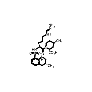 C[C@@H]1CCN(C(=O)[C@H](CCCNC=NN)NS(=O)(=O)c2cccc3c2NC[C@H](C)C3)[C@@H](C(=O)O)C1